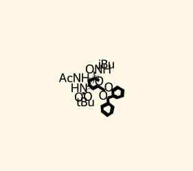 CCC(C)NC(=O)[C@@H]1OC(C(=O)OC(c2ccccc2)c2ccccc2)=C[C@H](NC(=O)OC(C)(C)C)[C@H]1NC(C)=O